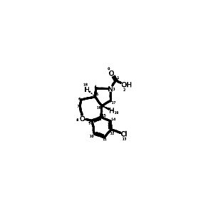 O=C(O)N1C[C@@H]2CCOc3ccc(Cl)cc3[C@H]2C1